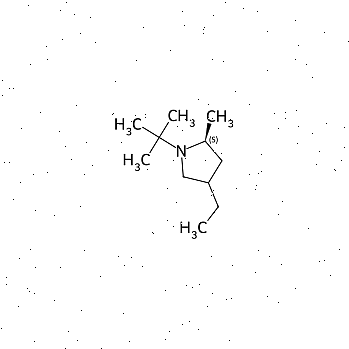 CCC1C[C@H](C)N(C(C)(C)C)C1